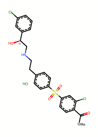 COC(=O)c1ccc(S(=O)(=O)c2ccc(CCNC[C@@H](O)c3cccc(Cl)c3)cc2)cc1Cl.Cl